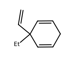 C=CC1(CC)C=CCC=C1